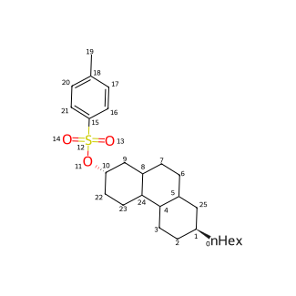 CCCCCC[C@H]1CCC2C(CCC3C[C@@H](OS(=O)(=O)c4ccc(C)cc4)CCC32)C1